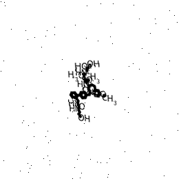 COc1ccc2c(c1)CC[C@@H](NC(=O)CC(C)(C)NC[C@H](O)CO)C(=O)N2Cc1ccc(-c2ccccc2CNC(=O)NCCO)cc1